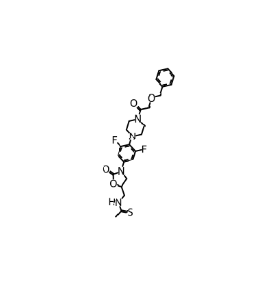 CC(=S)NCC1CN(c2cc(F)c(N3CCN(C(=O)COCc4ccccc4)CC3)c(F)c2)C(=O)O1